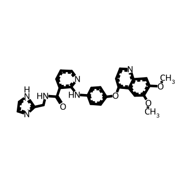 COc1cc2nccc(Oc3ccc(Nc4ncccc4C(=O)NCc4ncc[nH]4)cc3)c2cc1OC